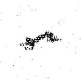 COC[C@H]1C[C@@H](c2ncc(-c3ccc(-c4ccc(-c5cnc([C@@H]6CC[C@H](C)N6C(=O)[C@@H](NC(=O)OC)C(C)C)[nH]5)cc4)cc3)[nH]2)N(C(=O)[C@](NC(=O)O)(c2ccccc2)C(C)(C)C)C1